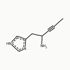 CC#CC(N)Cc1c[nH]cn1